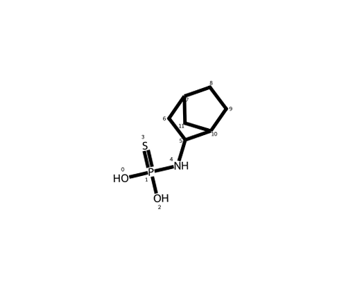 OP(O)(=S)NC1CC2CCC1C2